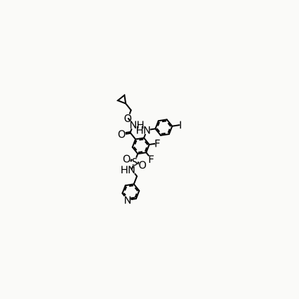 O=C(NOCC1CC1)c1cc(S(=O)(=O)NCc2ccncc2)c(F)c(F)c1Nc1ccc(I)cc1